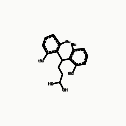 CC(C)(C)c1cccc(C(C)(C)C)c1C(CCB(O)O)c1c(C(C)(C)C)cccc1C(C)(C)C